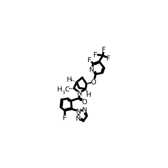 C[C@@H]1[C@H]2C[C@@H](Oc3ccc(C(F)(F)F)c(F)n3)[C@H](C2)N1C(=O)c1cccc(F)c1-n1nccn1